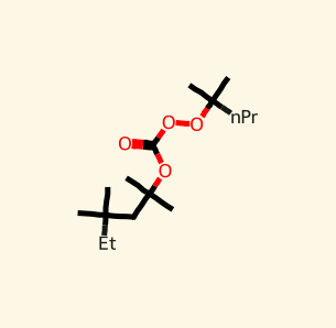 CCCC(C)(C)OOC(=O)OC(C)(C)CC(C)(C)CC